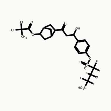 CCC(C)(C)C(=O)OC1CC2CC1CC2C(=O)CC(O)c1ccc(OS(=O)(=O)C(F)(F)C(F)(F)C(F)(F)S(=O)(=O)O)cc1